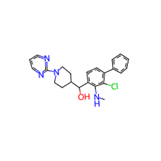 CNc1c(C(O)C2CCN(c3ncccn3)CC2)ccc(-c2ccccc2)c1Cl